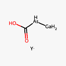 O=C(O)[AsH][GaH2].[Y]